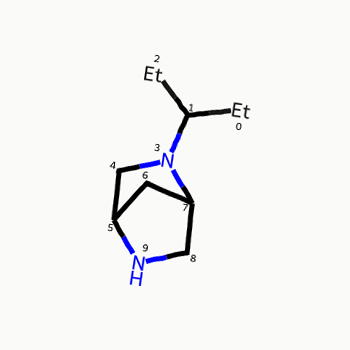 CCC(CC)N1CC2CC1CN2